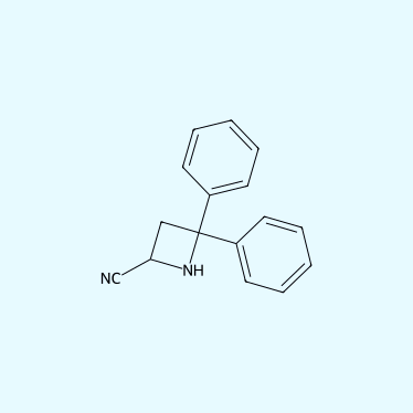 N#CC1CC(c2ccccc2)(c2ccccc2)N1